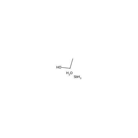 CCO.O.[SbH3]